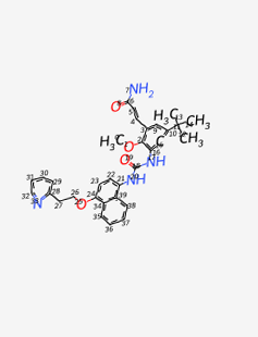 COc1c(C=CC(N)=O)cc(C(C)(C)C)cc1NC(=O)Nc1ccc(OCCc2ccccn2)c2ccccc12